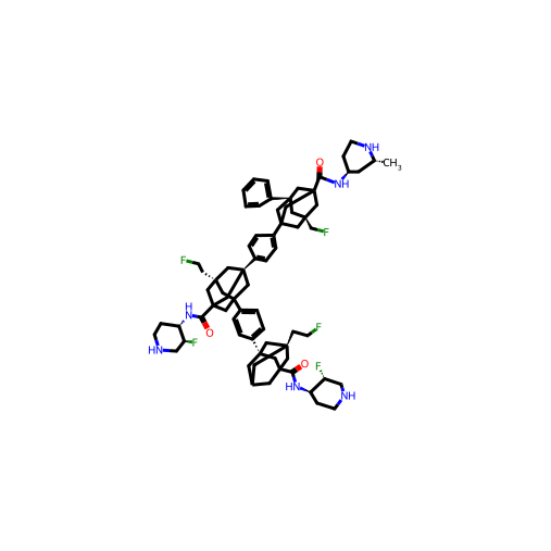 C[C@@H]1C[C@@H](NC(=O)C23CC4(c5ccc([C@@]67CC8(C(=O)N[C@H]9CCNC[C@@H]9F)CC(c9ccc([C@]%10%11CC%12CC(C(=O)N[C@@H]%13CCNC[C@H]%13F)(C[C@](CCF)(C%12)C%10)C%11)cc9)(C[C@@](CCF)(C8)C6)C7)cc5)C[C@@](CF)(C2)C[C@@](c2ccccc2)(C3)C4)CCN1